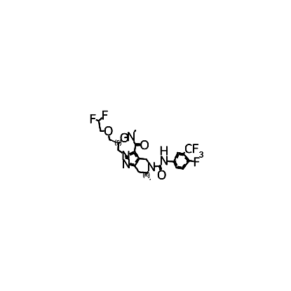 C[C@@H]1Cc2nn3c(c2CN1C(=O)Nc1ccc(F)c(C(F)(F)F)c1)C(=O)N(C)O[C@H](COCC(F)F)C3